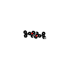 c1ccc([Si](c2ccccc2)(c2nccc3c2oc2ccc(-n4c5ccccc5c5cnccc54)cc23)c2nccc3c2sc2ccc(-n4c5ccccc5c5ccccc54)cc23)cc1